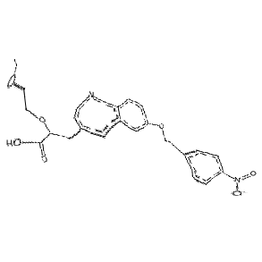 COCCOC(Cc1cnc2ccc(OCc3ccc([N+](=O)[O-])cc3)cc2c1)C(=O)O